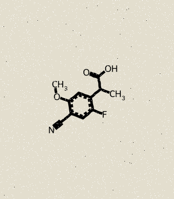 COc1cc(C(C)C(=O)O)c(F)cc1C#N